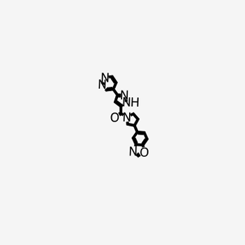 O=C(c1cc(-c2ccnnc2)n[nH]1)N1CCC(c2ccc3ocnc3c2)C1